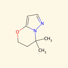 CC1(C)CCOc2ccnn21